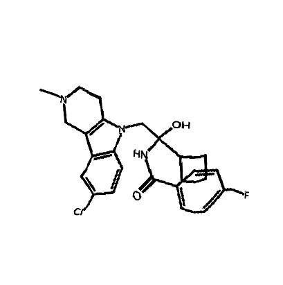 CN1CCc2c(c3cc(Cl)ccc3n2CC(O)(NC(=O)c2ccc(F)cc2)C2CCC2)C1